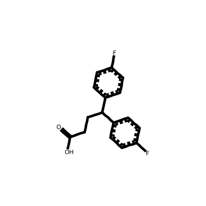 O=C(O)CCC(c1ccc(F)cc1)c1ccc(F)cc1